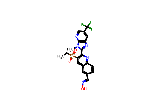 CCS(=O)(=O)c1cc2cc(C=NO)ccc2nc1-c1nc2cc(C(F)(F)F)cnc2n1C